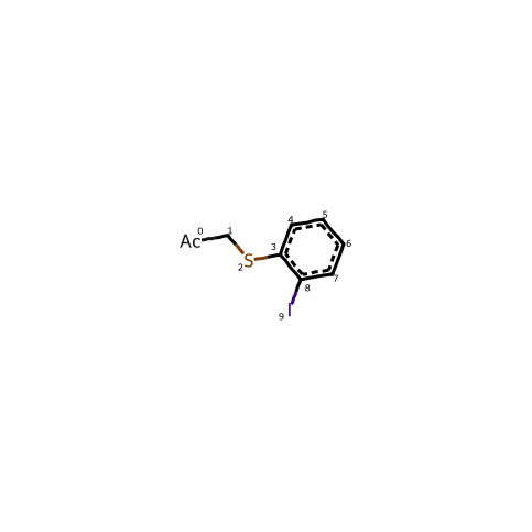 CC(=O)CSc1ccccc1I